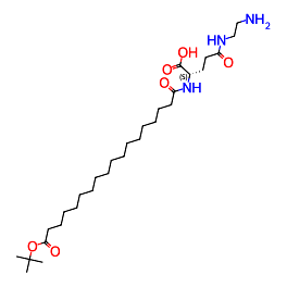 CC(C)(C)OC(=O)CCCCCCCCCCCCCCCCC(=O)N[C@@H](CCC(=O)NCCN)C(=O)O